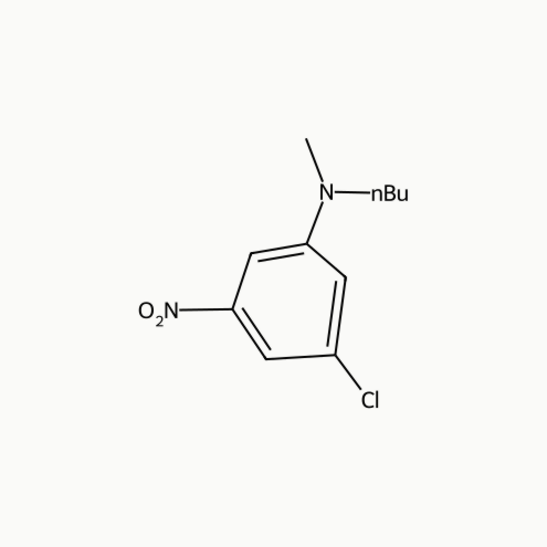 CCCCN(C)c1cc(Cl)cc([N+](=O)[O-])c1